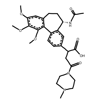 COc1cc2c(c(OC)c1OC)-c1ccc(C(CC(=O)N3CCN(C)CC3)C(=O)O)cc1[C@@H](NC(C)=O)CC2